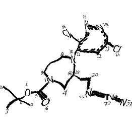 CC(C)(C)OC(=O)N1CCN(c2cc(Cl)nnc2Cl)[C@@H](CN=[N+]=[N-])C1